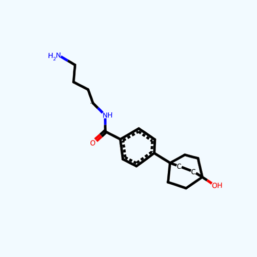 NCCC[CH]NC(=O)c1ccc(C23CCC(O)(CC2)CC3)cc1